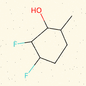 CC1CCC(F)C(F)C1O